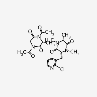 CC(=O)N1CC(=O)N(C(C)=O)C(C)C1=O.CC1C(=O)N(C)/C(=C/c2cccnc2Cl)C(=O)N1C